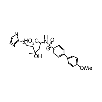 COc1ccc(-c2ccc(S(=O)(=O)NC(CC(C)(O)CCSc3nccn3C)C(=O)O)cc2)cc1